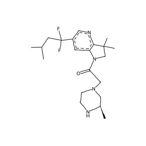 CC(C)CC(F)(F)c1cnc2c(c1)N(C(=O)CN1CCN[C@H](C)C1)CC2(C)C